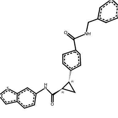 O=C(NCc1cccnc1)c1ccc([C@@H]2C[C@H]2C(=O)Nc2ccc3cnsc3c2)cc1